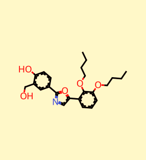 CCCCOc1cccc(-c2cnc(-c3ccc(O)c(CO)c3)o2)c1OCCCC